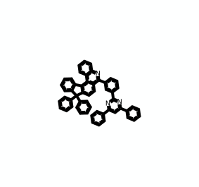 c1ccc(-c2cc(-c3ccccc3)nc(-c3cccc(-c4nc5ccccc5c5c6c(ccc45)C(c4ccccc4)(c4ccccc4)c4ccccc4-6)c3)n2)cc1